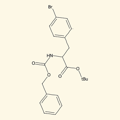 CC(C)(C)OC(=O)C(Cc1[c]cc(Br)cc1)NC(=O)OCc1ccccc1